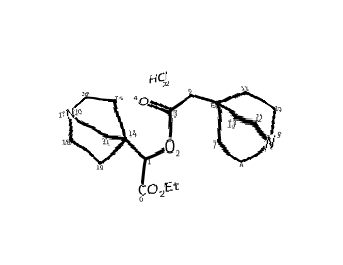 CCOC(=O)C(OC(=O)CC12CCN(CC1)CC2)C12CCN(CC1)CC2.Cl